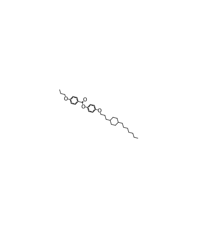 CCCCCCCC1CCC(CCCOc2ccc(OC(=O)c3ccc(OCCC)cc3)cc2)CC1